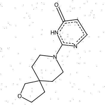 O=c1[c]cnc(N2CCC3(CCOC3)CC2)[nH]1